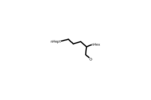 CCCCCCCCCCC(C[O])CCCCCC